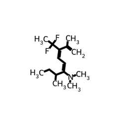 C=C(C)/C(=C\C=C(/C(C)CC)N(C)C)C(C)(F)F